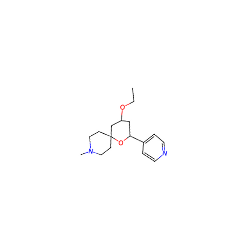 CCOC1CC(c2ccncc2)OC2(CCN(C)CC2)C1